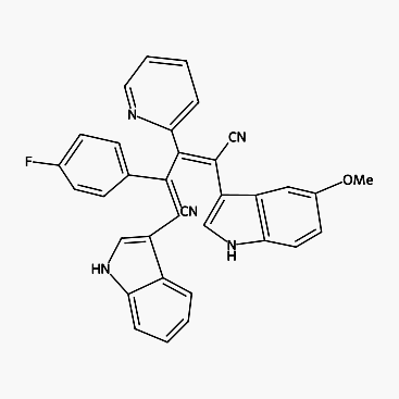 COc1ccc2[nH]cc(/C(C#N)=C(\C(=C(/C#N)c3c[nH]c4ccccc34)c3ccc(F)cc3)c3ccccn3)c2c1